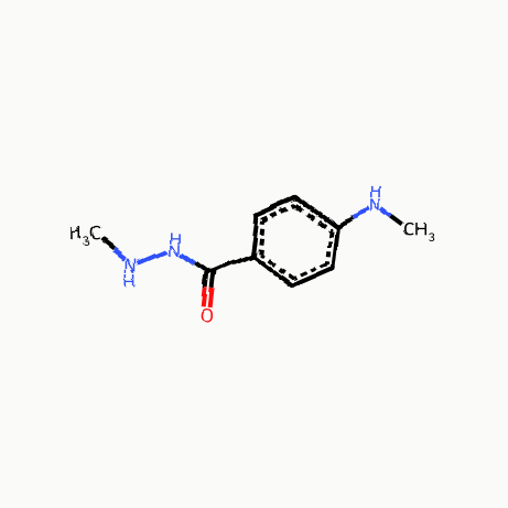 CNNC(=O)c1ccc(NC)cc1